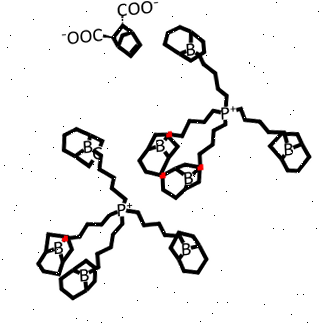 C(CCB1C2CCCC1CCC2)CC[P+](CCCCCB1C2CCCC1CCC2)(CCCCCB1C2CCCC1CCC2)CCCCCB1C2CCCC1CCC2.C(CCB1C2CCCC1CCC2)CC[P+](CCCCCB1C2CCCC1CCC2)(CCCCCB1C2CCCC1CCC2)CCCCCB1C2CCCC1CCC2.O=C([O-])[C@@H]1C2C=CC(C2)[C@H]1C(=O)[O-]